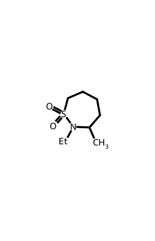 CCN1C(C)CCCCS1(=O)=O